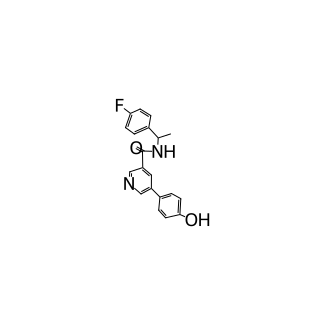 CC(NC(=O)c1cncc(-c2ccc(O)cc2)c1)c1ccc(F)cc1